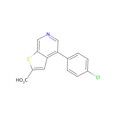 O=C(O)c1cc2c(-c3ccc(Cl)cc3)cncc2s1